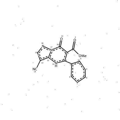 COC(=O)c1c(-c2ccccc2)[nH]c2c(C#N)cnn2c1=O